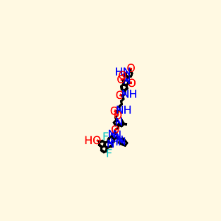 C#Cc1c(F)ccc2cc(O)cc(-c3ncc4c(N5CC6CCC(C5)N6)nc(OCC56CCC(COC(=O)NCCCCC(=O)Nc7ccc8c(c7)C(=O)N(C7CCC(=O)NC7=O)C8=O)N5CC(=C)C6)nc4c3F)c12